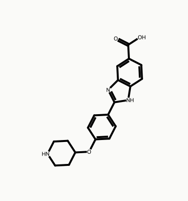 O=C(O)c1ccc2[nH]c(-c3ccc(OC4CCNCC4)cc3)nc2c1